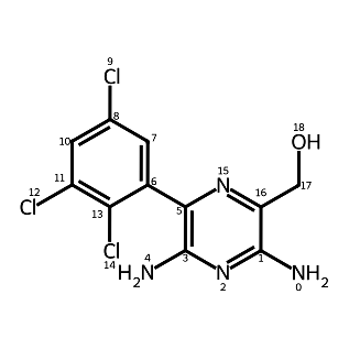 Nc1nc(N)c(-c2cc(Cl)cc(Cl)c2Cl)nc1CO